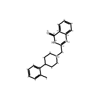 Cc1ccccc1C1CCN(Cc2nc3ccccc3c(=O)[nH]2)CC1